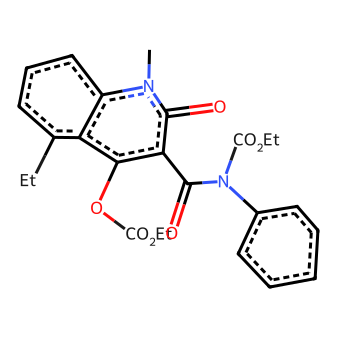 CCOC(=O)Oc1c(C(=O)N(C(=O)OCC)c2ccccc2)c(=O)n(C)c2cccc(CC)c12